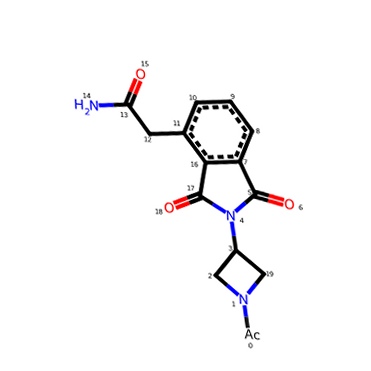 CC(=O)N1CC(N2C(=O)c3cccc(CC(N)=O)c3C2=O)C1